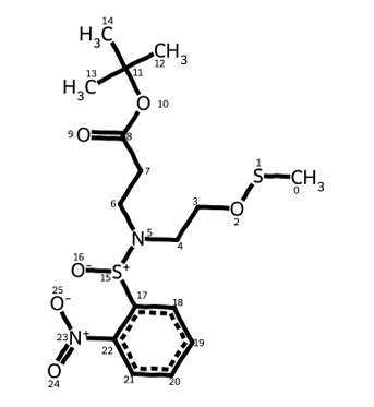 CSOCCN(CCC(=O)OC(C)(C)C)[S+]([O-])c1ccccc1[N+](=O)[O-]